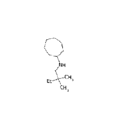 CCC(C)(C)CNC1CCCCCC1